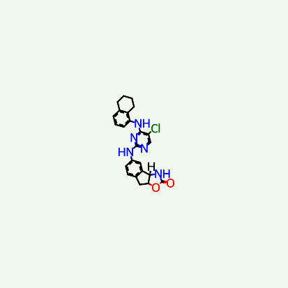 O=C1N[C@H]2c3cc(Nc4ncc(Cl)c(Nc5cccc6c5CCCC6)n4)ccc3CC2O1